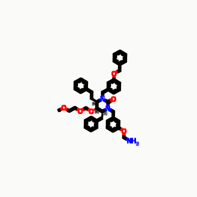 COCCOCO[C@@H]1[C@@H](CCc2ccccc2)N(Cc2cccc(OCc3ccccc3)c2)C(=O)N(Cc2cccc(OCN)c2)[C@@H]1Cc1ccccc1